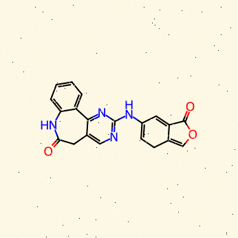 O=C1Cc2cnc(NC3=CCC4=COC(=O)C4=C3)nc2-c2ccccc2N1